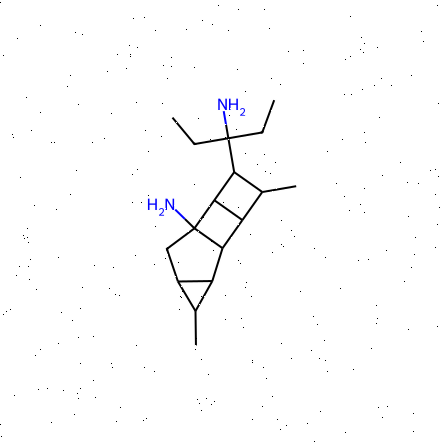 CCC(N)(CC)C1C(C)C2C3C4C(C)C4CC3(N)C21